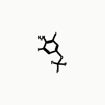 Nc1c(I)cc(OC(F)(F)F)cc1I